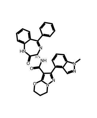 Cn1ncc2c(-c3nn4c(c3C(=O)N[C@H]3N=C(c5ccccc5)c5ccccc5NC3=O)OCCC4)cccc21